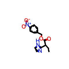 CCC(C(=O)OCc1ccc([N+](=O)[O-])cc1)c1ncc[nH]1